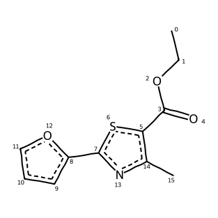 CCOC(=O)c1sc(-c2ccco2)nc1C